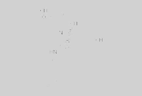 COc1ccc(C)c(N(CC(=O)NCc2cccc(C=O)c2)S(=O)(=O)c2ccc(C)cc2)c1